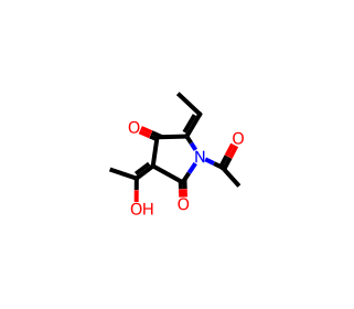 C/C=C1\C(=O)/C(=C(\C)O)C(=O)N1C(C)=O